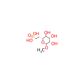 COC1O[C@H](CCP(=O)(O)O)[C@@H](O)[C@H](O)[C@@H]1O